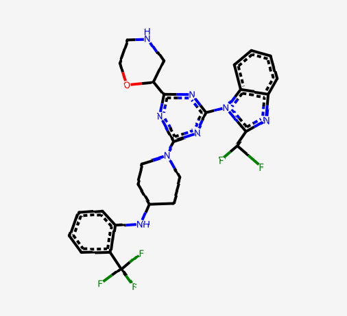 FC(F)c1nc2ccccc2n1-c1nc(C2CNCCO2)nc(N2CCC(Nc3ccccc3C(F)(F)F)CC2)n1